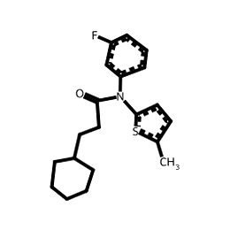 Cc1ccc(N(C(=O)CCC2CCCCC2)c2cccc(F)c2)s1